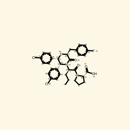 CCC[C@H](C(=O)N1CCC[C@H]1C(=O)O)N1C(=O)[C@H](Cc2ccc(F)cc2)O[C@@H](c2ccc(Cl)cc2)[C@H]1c1ccc(Cl)cc1